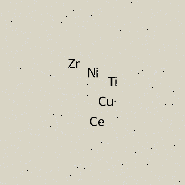 [Ce].[Cu].[Ni].[Ti].[Zr]